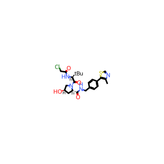 Cc1ncsc1-c1ccc(CNC(=O)[C@@H]2C[C@@H](O)CN2C(=O)[C@@H](NC(=O)CCl)C(C)(C)C)cc1